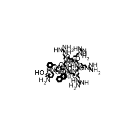 CCCC[C@H](N)C(=O)N[C@@H](CCCNC(=N)N)C(=O)N[C@@H](CCCNC(=N)N)C(=O)N[C@@H](CCCNC(=N)N)C(=O)N[C@@H](CCCNC(=N)N)C(=O)N[C@@H](Cc1ccc2ccccc2c1)C(=O)N[C@@H](Cc1ccccc1)C(=O)N[C@@H](CCC(N)=O)C(=O)O